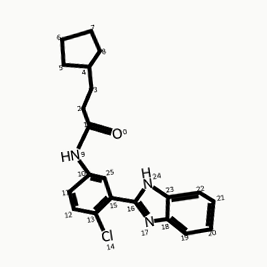 O=C(CCC1CCCC1)Nc1ccc(Cl)c(-c2nc3ccccc3[nH]2)c1